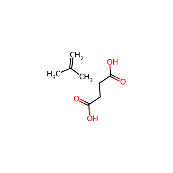 C=C(C)C.O=C(O)CCC(=O)O